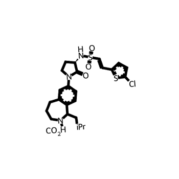 CC(C)CC1c2ccc(N3CC[C@H](NS(=O)(=O)C=Cc4ccc(Cl)s4)C3=O)cc2CCCN1C(=O)O